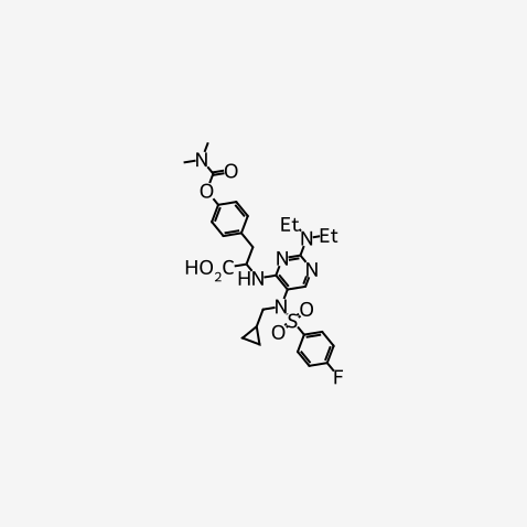 CCN(CC)c1ncc(N(CC2CC2)S(=O)(=O)c2ccc(F)cc2)c(NC(Cc2ccc(OC(=O)N(C)C)cc2)C(=O)O)n1